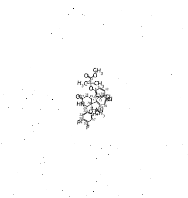 COC(=O)C(C)(C)Oc1ccc(Cl)cc1[C@H]1CC(=O)N[C@@H](c2cc(F)c(F)cc2C)[C@]12C(=O)Nc1cc(Cl)ccc12